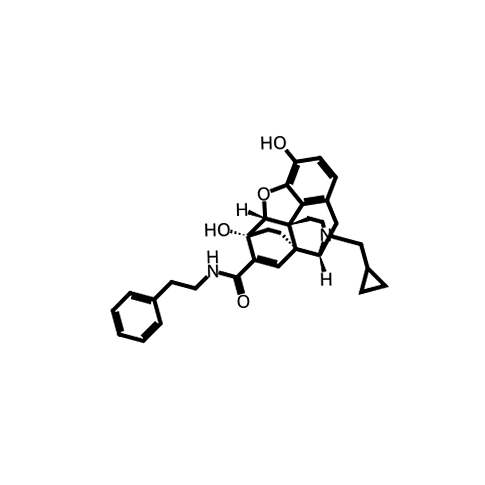 O=C(NCCc1ccccc1)C1=C[C@@]23CC[C@]1(O)[C@@H]1Oc4c(O)ccc5c4[C@@]12CCN(CC1CC1)[C@@H]3C5